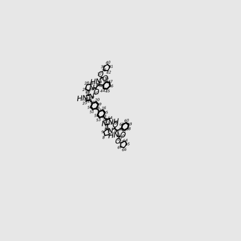 O=C(N[C@@H](C(=O)N1CCC[C@H]1c1nc(-c2ccc(-c3ccc(-c4c[nH]c([C@@H]5CCCN5C(=O)[C@H](NC(=O)OC5CCCC5)c5ccccc5)n4)cc3)cc2)c[nH]1)c1ccccc1)OC1CCCC1